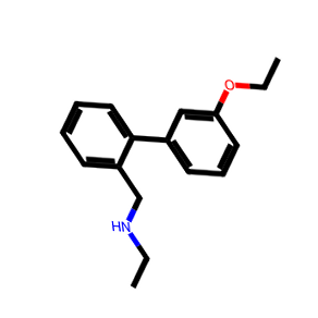 CCNCc1ccccc1-c1cccc(OCC)c1